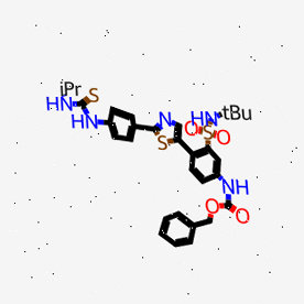 CC(C)NC(=S)Nc1ccc(-c2ncc(-c3ccc(NC(=O)OCc4ccccc4)cc3S(=O)(=O)NC(C)(C)C)s2)cc1